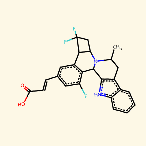 CC1Cc2c([nH]c3ccccc23)C2c3c(F)cc(/C=C/C(=O)O)cc3C3C(CC3(F)F)N12